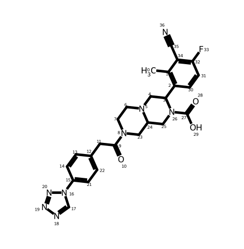 Cc1c(C2CN3CCN(C(=O)Cc4ccc(-n5cnnn5)cc4)CC3CN2C(=O)O)ccc(F)c1C#N